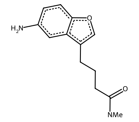 CNC(=O)CCCc1coc2ccc(N)cc12